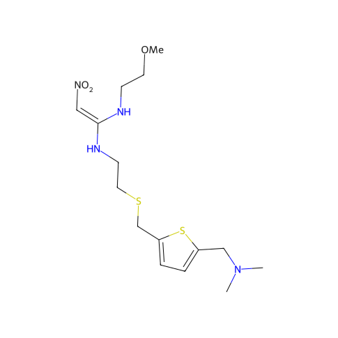 COCCNC(=C[N+](=O)[O-])NCCSCc1ccc(CN(C)C)s1